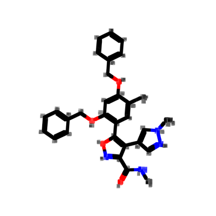 CCNC(=O)c1noc(-c2cc(C(C)C)c(OCc3ccccc3)cc2OCc2ccccc2)c1-c1cnn(C)c1